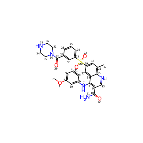 COc1cccc(Nc2c(C(N)=O)cnc3c(C)cc(S(=O)(=O)c4cccc(C(=O)N5CCNCC5)c4)cc23)c1